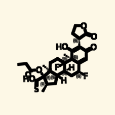 CCC(=O)O[C@]1(C(O)=S)[C@H](C)C[C@H]2[C@@H]3C[C@H](F)C4=CC(=O)C([C@@H]5CCOC5=O)=C(O)[C@]4(C)[C@@]3(F)CC[C@@]21C